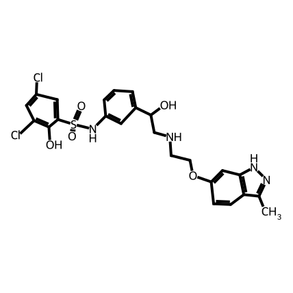 Cc1n[nH]c2cc(OCCNCC(O)c3cccc(NS(=O)(=O)c4cc(Cl)cc(Cl)c4O)c3)ccc12